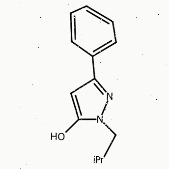 CC(C)Cn1nc(-c2ccccc2)cc1O